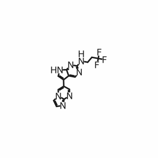 FC(F)(F)CCNc1ncc2c(-c3cnc4nccn4c3)c[nH]c2n1